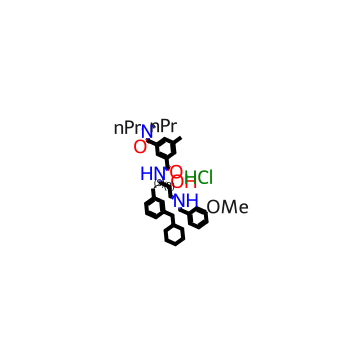 CCCN(CCC)C(=O)c1cc(C)cc(C(=O)N[C@@H](Cc2cccc(CC3CCCCC3)c2)[C@H](O)CNCc2cccc(OC)c2)c1.Cl